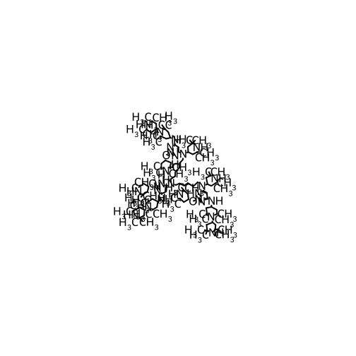 CC1(C)CC(ON2N=C(NC3CC(C)(C)N(C4CC(C)(C)NC(C)(C)C4)C(C)(C)C3)C=C(N(CCCCCCN(C3=CC(NC4CC(C)(C)N(C5CC(C)(C)NC(C)(C)C5)C(C)(C)C4)=NN(OC4CC(C)(C)NC(C)(C)C4)N3)C3CC(C)(C)NC(C)(C)C3)CCCCCCN(C3=CC(NC4CC(C)(C)N(C5CC(C)(C)NC(C)(C)C5)C(C)(C)C4)=NN(OC4CC(C)(C)NC(C)(C)C4)N3)C3CC(C)(C)NC(C)(C)C3)N2)CC(C)(C)N1